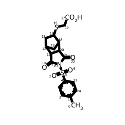 Cc1ccc(S(=O)(=O)N2C(=O)C3C4CC(SCC(=O)O)C(C4)C3C2=O)cc1